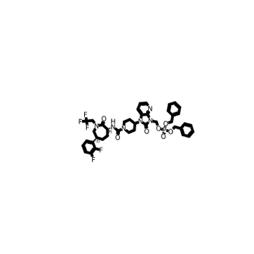 O=C(N[C@@H]1CC[C@@H](c2cccc(F)c2F)CN(CC(F)(F)F)C1=O)N1CCC(n2c(=O)n(COP(=O)(OCc3ccccc3)OCc3ccccc3)c3ncccc32)CC1